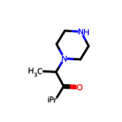 CC(C)C(=O)C(C)N1CCNCC1